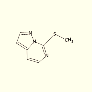 CSc1nccc2ccnn12